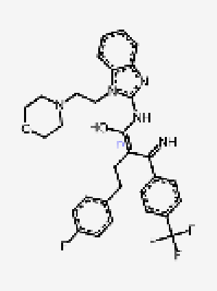 N=C(/C(CCc1ccc(F)cc1)=C(/O)Nc1nc2ccccc2n1CCN1CCOCC1)c1ccc(C(F)(F)F)cc1